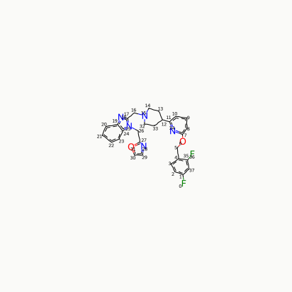 Fc1ccc(COc2cccc(C3CCN(Cc4nc5ccccc5n4Cc4ncco4)CC3)n2)c(F)c1